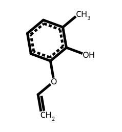 C=COc1cccc(C)c1O